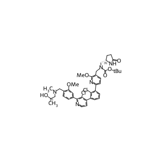 COc1cc(-c2nccc(-c3cccc(-c4ccc(CN(C[C@@H]5CCC(=O)N5)C(=O)OC(C)(C)C)c(OC)n4)c3Cl)c2Cl)ccc1CN(C)C[C@H](C)O